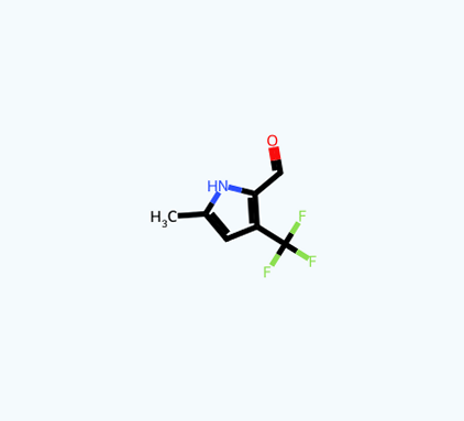 Cc1cc(C(F)(F)F)c(C=O)[nH]1